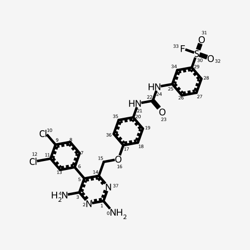 Nc1nc(N)c(-c2ccc(Cl)c(Cl)c2)c(COc2ccc(NC(=O)Nc3cccc(S(=O)(=O)F)c3)cc2)n1